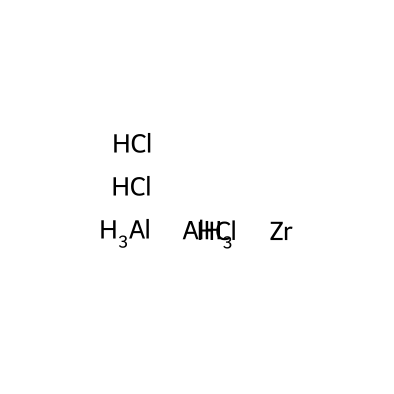 Cl.Cl.Cl.[AlH3].[AlH3].[Zr]